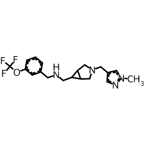 Cn1cc(CN2CC3C(CNCc4cccc(OC(F)(F)F)c4)C3C2)cn1